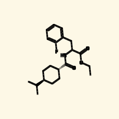 CCOC(=O)C(Cc1ccccc1F)NC(=O)[C@H]1CC[C@H](C(C)C)CC1